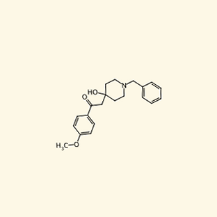 COc1ccc(C(=O)CC2(O)CCN(Cc3ccccc3)CC2)cc1